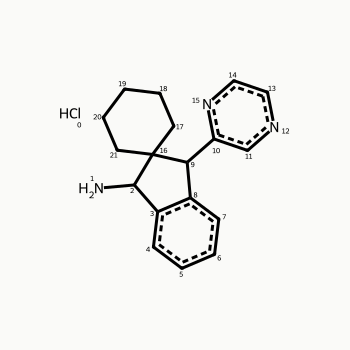 Cl.NC1c2ccccc2C(c2cnccn2)C12CCCCC2